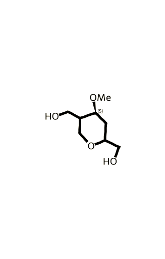 CO[C@H]1CC(CO)OCC1CO